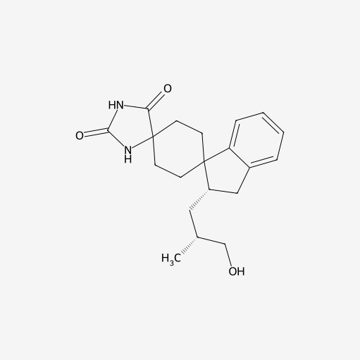 C[C@@H](CO)C[C@H]1Cc2ccccc2C12CCC1(CC2)NC(=O)NC1=O